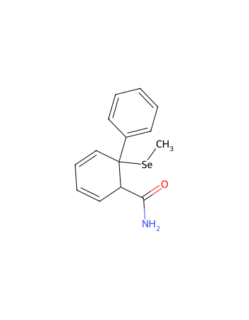 C[Se]C1(c2ccccc2)C=CC=CC1C(N)=O